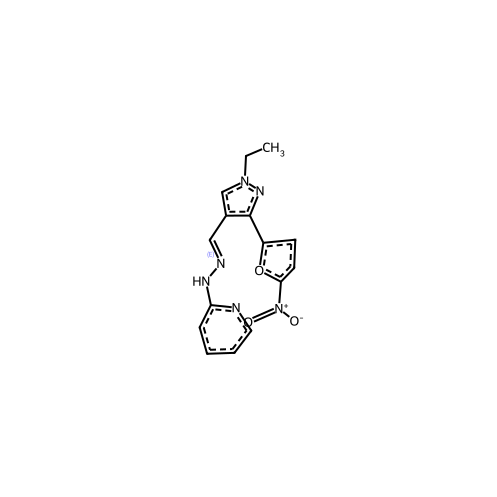 CCn1cc(/C=N/Nc2ccccn2)c(-c2ccc([N+](=O)[O-])o2)n1